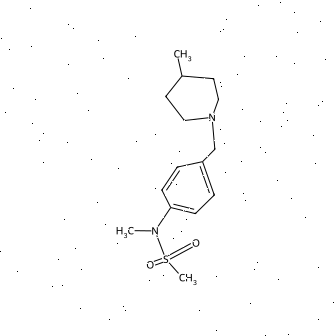 CC1CCN(Cc2ccc(N(C)S(C)(=O)=O)cc2)CC1